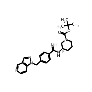 CC(C)(C)OC(=O)N1CCC[C@@H](NC(=N)c2ccc(Cn3ncc4cnccc43)cc2)C1